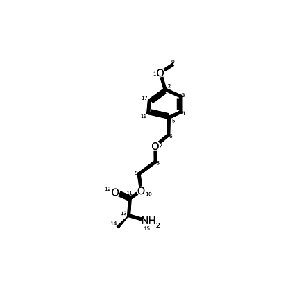 COc1ccc(COCCOC(=O)[C@H](C)N)cc1